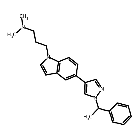 CC(c1ccccc1)n1cc(-c2ccc3c(ccn3CCCN(C)C)c2)cn1